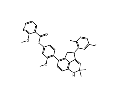 COc1cc(OC(=O)c2cccnc2OC)ccc1-c1ccc2c3c1CN(c1cc(F)ccc1C)C3=CC(C)(C)N2